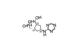 O=[PH](O)C[C@H]1C[C@H](Nc2ncncn2)C[C@@H]1CO